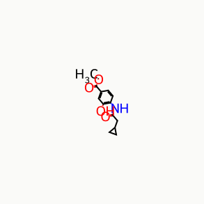 COC(=O)c1ccc(NC(=O)CC2CC2)c(O)c1